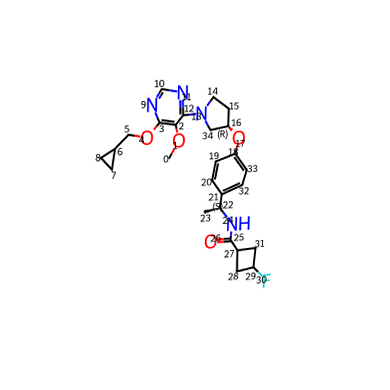 COc1c(OCC2CC2)ncnc1N1CC[C@@H](Oc2ccc([C@H](C)NC(=O)C3CC(F)C3)cc2)C1